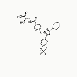 O=C(NC[C@@H](O)C(=O)O)c1ccc(Cn2nc(C3CCCCC3)cc2C2C=CC(OC(F)(F)F)=CC2)cc1